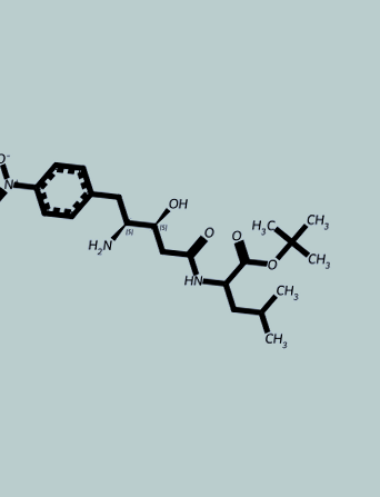 CC(C)CC(NC(=O)C[C@H](O)[C@@H](N)Cc1ccc([N+](=O)[O-])cc1)C(=O)OC(C)(C)C